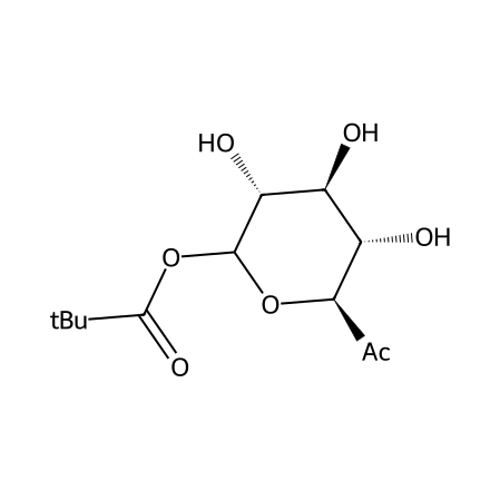 CC(=O)[C@H]1OC(OC(=O)C(C)(C)C)[C@H](O)[C@@H](O)[C@@H]1O